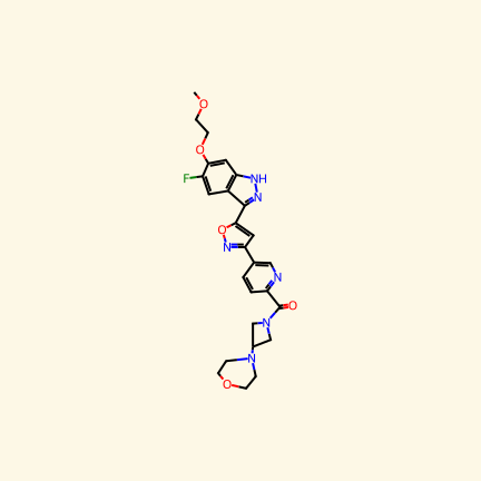 COCCOc1cc2[nH]nc(-c3cc(-c4ccc(C(=O)N5CC(N6CCOCC6)C5)nc4)no3)c2cc1F